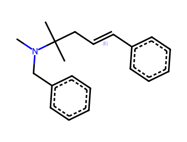 CN(Cc1ccccc1)C(C)(C)C/C=C/c1ccccc1